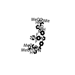 COC(=O)N[C@H](C(=O)N1CCCC1c1nc2cc([C@@H]3CC[C@@H](c4ccc(-c5cnc([C@@H]6CCCN6C(=O)[C@@H](NC(=O)OC)[C@@H](C)OC)[nH]5)cc4)N3c3cc(F)c(N4CC[Si](C)(C)CC4)c(F)c3)ccc2[nH]1)[C@@H](C)OC